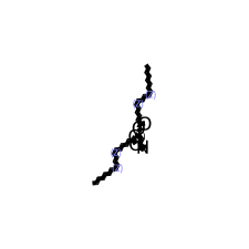 CCCCCCC/C=C\CC/C=C\CCCCC(=O)OC[C@H](CCN(C)C)OC(=O)CCCC/C=C\CC/C=C\CCCCCCC